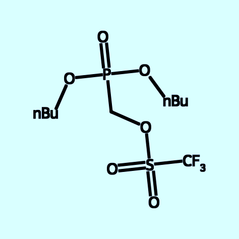 CCCCOP(=O)(COS(=O)(=O)C(F)(F)F)OCCCC